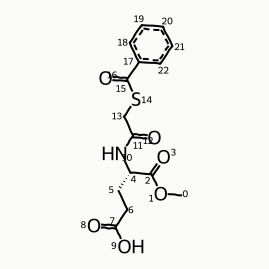 COC(=O)[C@H](CCC(=O)O)NC(=O)CSC(=O)c1ccccc1